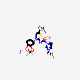 Cc1cn(-c2ccc3c(c2)OC(F)(F)O3)/c(=N/C(=O)n2cc[n+](C)c2)s1.[I-]